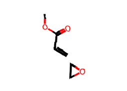 C1CO1.C=CC(=O)OC